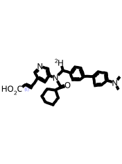 [2H]C(c1ccc(-c2ccc(N(C)C)cc2)cc1)N(C(=O)C1CCCCC1)c1cncc(/C=C/C(=O)O)c1